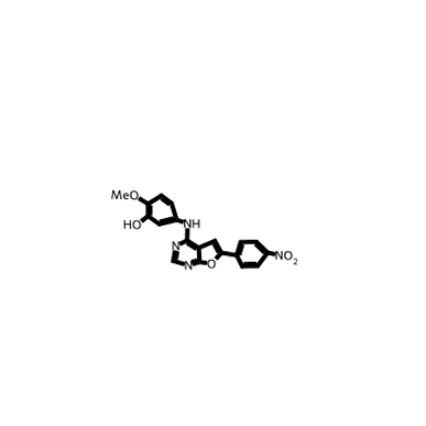 COc1ccc(Nc2ncnc3oc(-c4ccc([N+](=O)[O-])cc4)cc23)cc1O